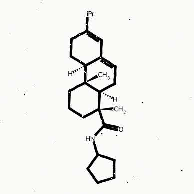 CC(C)C1=CC2=CC[C@@H]3[C@](C)(CCC[C@@]3(C)C(=O)NC3CCCC3)[C@H]2CC1